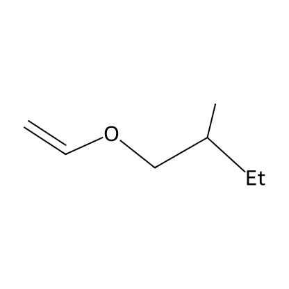 C=COCC(C)CC